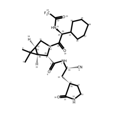 CC1(C)[C@@H]2[C@@H](C(=O)N[C@H](C#N)C[C@@H]3CCNC3=O)N(C(=O)[C@@H](NC(=O)C(F)(F)F)C3CCCCC3)C[C@@H]21